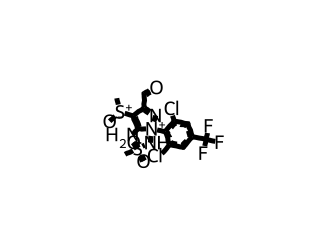 C[S+]([O-])C1=C(N)[N+](NS(C)(=O)=O)(c2c(Cl)cc(C(F)(F)F)cc2Cl)N=C1C=O